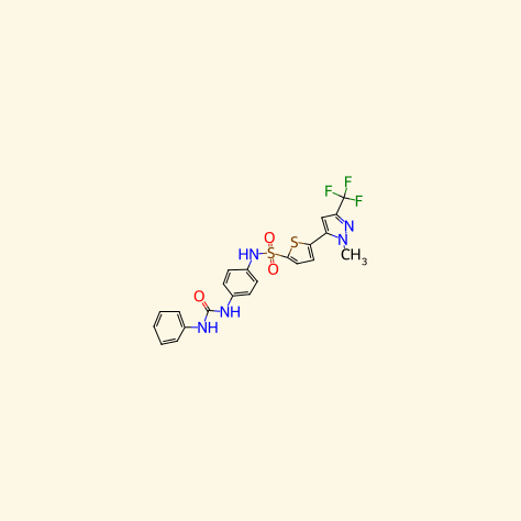 Cn1nc(C(F)(F)F)cc1-c1ccc(S(=O)(=O)Nc2ccc(NC(=O)Nc3ccccc3)cc2)s1